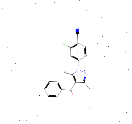 Cc1nn(-c2ccc(C#N)c(Cl)c2)c(C)c1C(O)c1ccccc1